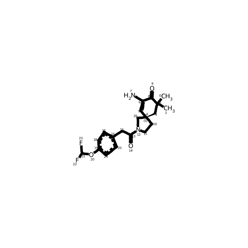 CC1(C)C[C@@]2(C=C(N)C1=O)CCN(C(=O)Cc1ccc(OC(F)F)cc1)C2